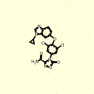 NC(=O)c1noc(=O)n1-c1cc(Cl)c(Oc2ccc3ncn(C4CC4)c3c2)c(Cl)c1